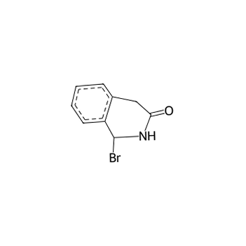 O=C1Cc2ccccc2C(Br)N1